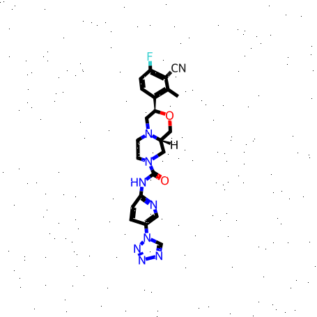 Cc1c([C@@H]2CN3CCN(C(=O)Nc4ccc(-n5cnnn5)cn4)C[C@H]3CO2)ccc(F)c1C#N